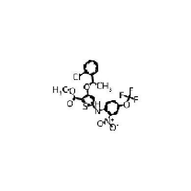 COC(=O)c1sc(Nc2ccc(OC(F)(F)F)cc2[N+](=O)[O-])cc1O[C@H](C)c1ccccc1Cl